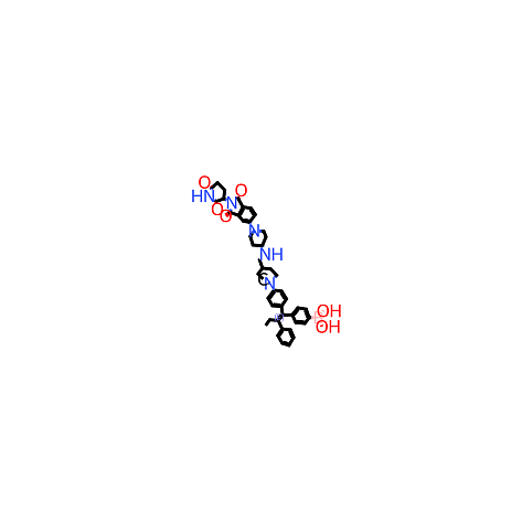 CC/C(=C(/c1ccc(B(O)O)cc1)c1ccc(N2CCC(CNC3CCN(c4ccc5c(c4)C(=O)N(C4CCC(=O)NC4=O)C5=O)CC3)CC2)cc1)c1ccccc1